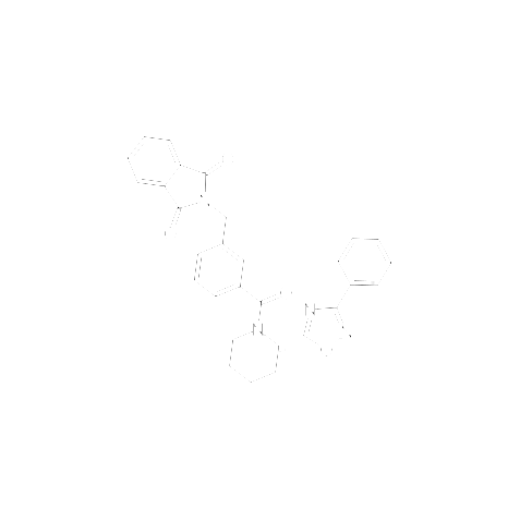 O=C1c2ccccc2C(=O)N1Cc1cccc(C(=O)N2CCCC[C@H]2c2nc(-c3ccccc3)no2)c1